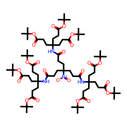 CC(C)(C)OC(=O)CCC(CCC(=O)OC(C)(C)C)(CCC(=O)OC(C)(C)C)NC(=O)CCC(CCC(=O)NC(CCC(=O)OC(C)(C)C)(CCC(=O)OC(C)(C)C)CCC(=O)OC(C)(C)C)(CCC(=O)NC(CCC(=O)OC(C)(C)C)(CCC(=O)OC(C)(C)C)CCC(=O)OC(C)(C)C)[N+](=O)[O-]